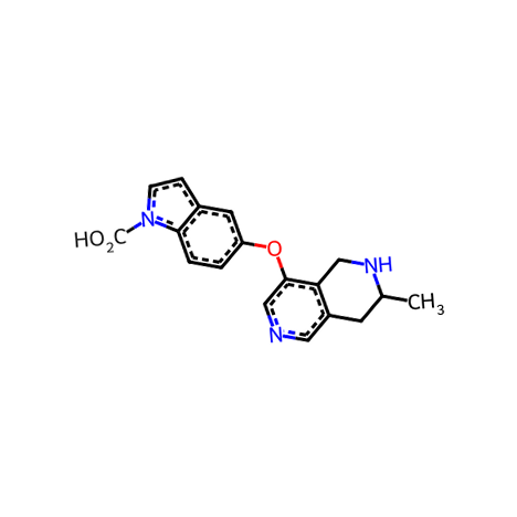 CC1Cc2cncc(Oc3ccc4c(ccn4C(=O)O)c3)c2CN1